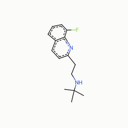 CC(C)(C)NCCc1ccc2cccc(F)c2n1